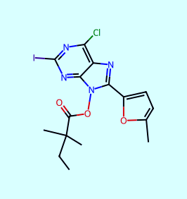 CCC(C)(C)C(=O)On1c(-c2ccc(C)o2)nc2c(Cl)nc(I)nc21